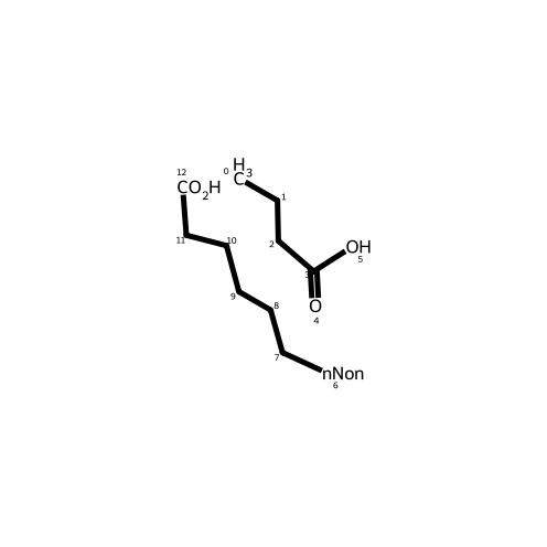 CCCC(=O)O.CCCCCCCCCCCCCCC(=O)O